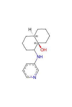 O[C@]12CCCC[C@@H]1CCCC2Nc1cccnc1